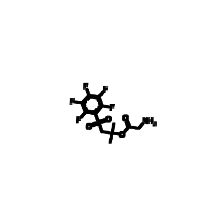 CC(C)(CS(=O)(=O)c1c(F)c(F)c(F)c(F)c1F)OC(=O)CN